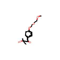 COCCOCCOc1ccc(C(=O)C(C)(C)O)cc1